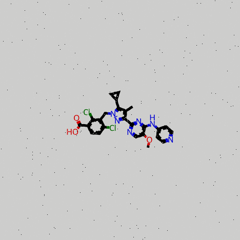 COc1cnc(-c2nn(Cc3c(Cl)ccc(C(=O)O)c3Cl)c(C3CC3)c2C)nc1Nc1ccncc1